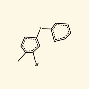 Cc1ccc(Sc2ccccc2)cc1Br